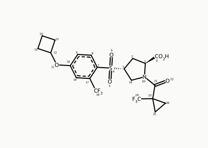 O=C(O)[C@@H]1C[C@@H](S(=O)(=O)c2ccc(OC3CCC3)cc2C(F)(F)F)CN1C(=O)C1(C(F)(F)F)CC1